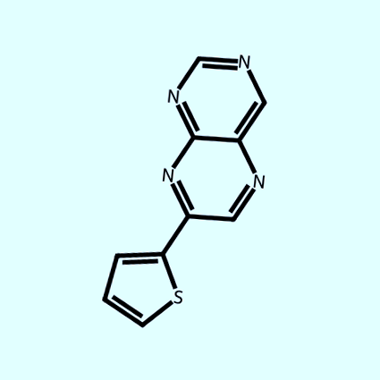 c1csc(-c2cnc3cncnc3n2)c1